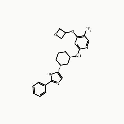 FC(F)(F)c1cnc(N[C@@H]2CCC[C@@H](c3cnc(-c4ccccc4)[nH]3)C2)nc1OC1COC1